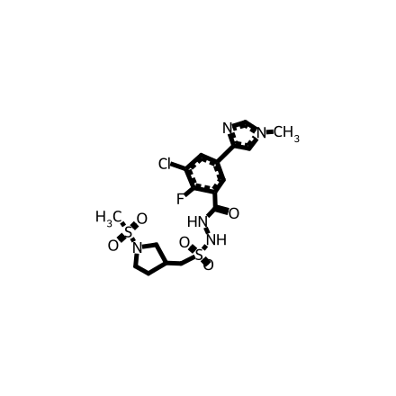 Cn1cnc(-c2cc(Cl)c(F)c(C(=O)NNS(=O)(=O)CC3CCN(S(C)(=O)=O)C3)c2)c1